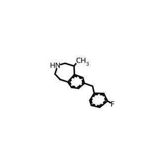 CC1CNCCc2ccc(Cc3cccc(F)c3)cc21